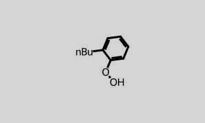 [CH2]CCCc1ccccc1OO